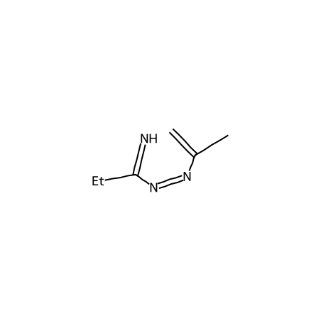 C=C(C)/N=N\C(=N)CC